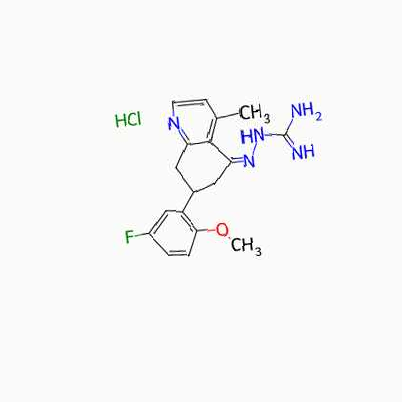 COc1ccc(F)cc1C1C/C(=N/NC(=N)N)c2c(C)ccnc2C1.Cl